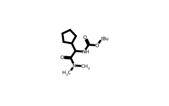 CN(C)C(=O)C(NC(=O)OC(C)(C)C)C1CCCC1